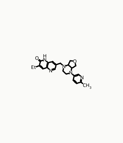 CCc1cc2ncc(CN3CCN(c4ccc(C)nc4)C4COCC43)cc2[nH]c1=O